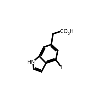 O=C(O)Cc1cc(I)c2cc[nH]c2c1